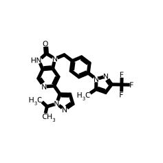 Cc1cc(C(F)(F)F)nn1-c1ccc(Cn2c(=O)[nH]c3cnc(-c4ccnn4C(C)C)cc32)cc1